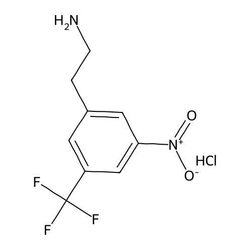 Cl.NCCc1cc([N+](=O)[O-])cc(C(F)(F)F)c1